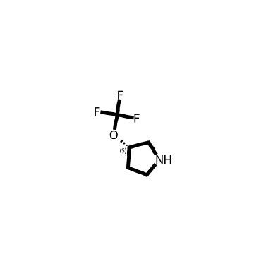 FC(F)(F)O[C@H]1CCNC1